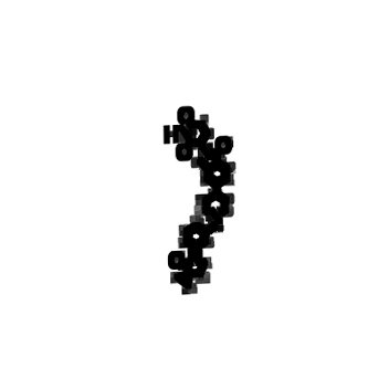 O=C1CCC(N2Cc3cc(C4CCN(Cc5cccc(N6CCC7(CC7)C6=O)c5)CC4)ccc3C2=O)C(=O)N1